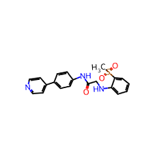 CS(=O)(=O)c1ccccc1NCC(=O)Nc1ccc(-c2ccncc2)cc1